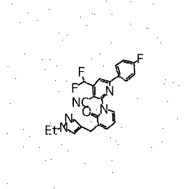 CCn1cc(Cc2cccn(-c3nc(-c4ccc(F)cc4)cc(C(F)F)c3C#N)c2=O)cn1